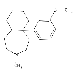 COc1cccc(C23CCCCC2CCN(C)CC3)c1